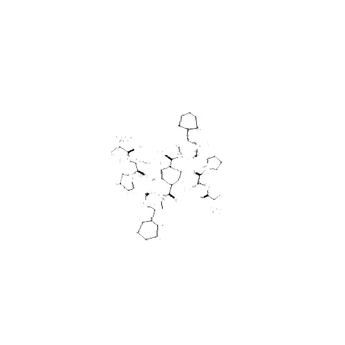 CN[C@@H](C)C(=O)N[C@H](C(=O)N1CCC[C@H]1C(=O)N[C@H](CNC(=O)C1CCC(C(=O)NC[C@@H](NC(=O)[C@@H]2CCCN2C(=O)[C@@H](NC(=O)[C@H](C)NC)C(C)(C)C)C2CCCCC2)CC1)C1CCCCC1)C(C)(C)C